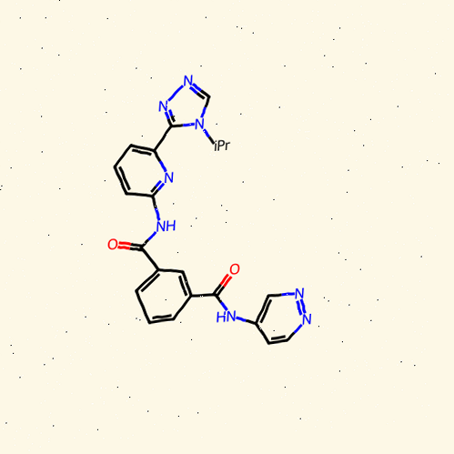 CC(C)n1cnnc1-c1cccc(NC(=O)c2cccc(C(=O)Nc3ccnnc3)c2)n1